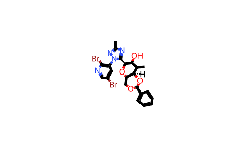 Cc1nc([C@@H]2OC3COC(c4ccccc4)O[C@@H]3C(C)C2O)n(-c2cc(Br)cnc2Br)n1